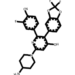 N#Cc1ccc(-c2nc(N3CCC(N)CC3)cc(O)c2-c2ccc3c(c2)OC(F)(F)O3)cc1F